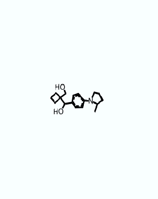 CC1CCCN1c1ccc(C(O)C2(CO)CCC2)cc1